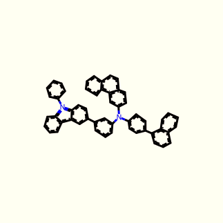 c1ccc(-n2c3ccccc3c3cc(-c4cccc(N(c5ccc(-c6cccc7ccccc67)cc5)c5ccc6ccc7ccccc7c6c5)c4)ccc32)cc1